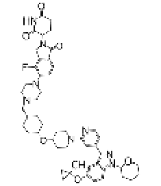 CC1(Oc2ccc3c(c2)c(-c2ccnc(N4CCC(O[C@H]5CC[C@H](CN6CCN(c7ccc8c(c7F)CN(C7CCC(=O)NC7=O)C8=O)CC6)CC5)CC4)c2)nn3C2CCCCO2)CC1